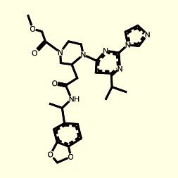 COCC(=O)N1CCN(c2cc(C(C)C)nc(-n3ccnc3)n2)C(CC(=O)NC(C)c2ccc3c(c2)OCO3)C1